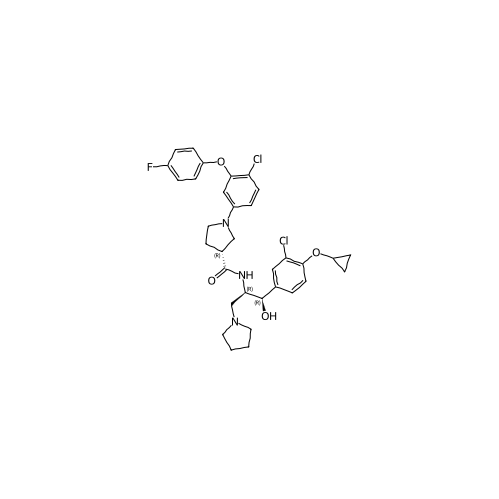 O=C(N[C@H](CN1CCCC1)[C@H](O)c1ccc(OC2CC2)c(Cl)c1)[C@@H]1CCN(c2ccc(Cl)c(Oc3ccc(F)cc3)c2)C1